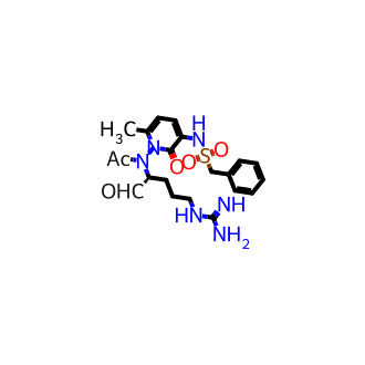 CC(=O)N([C@H](C=O)CCCNC(=N)N)n1c(C)ccc(NS(=O)(=O)Cc2ccccc2)c1=O